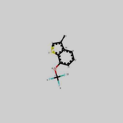 Cc1csc2c(OC(F)(F)F)cccc12